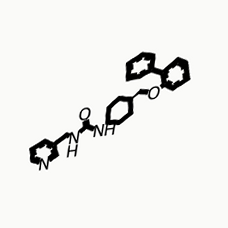 O=C(NCc1cccnc1)N[C@H]1CC[C@H](COc2ccccc2-c2ccccc2)CC1